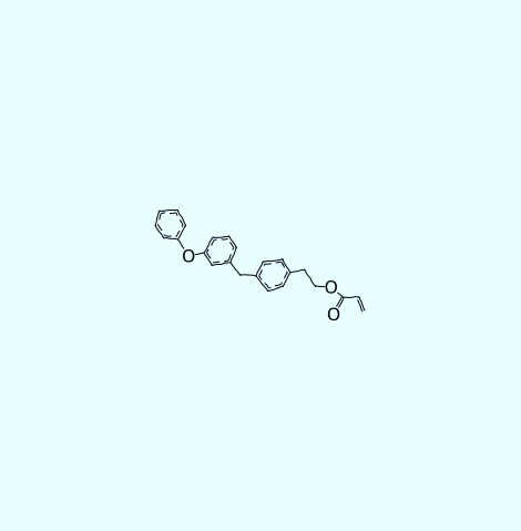 C=CC(=O)OCCc1ccc(Cc2cccc(Oc3ccccc3)c2)cc1